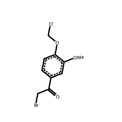 COc1cc(C(=O)CBr)ccc1OCCl